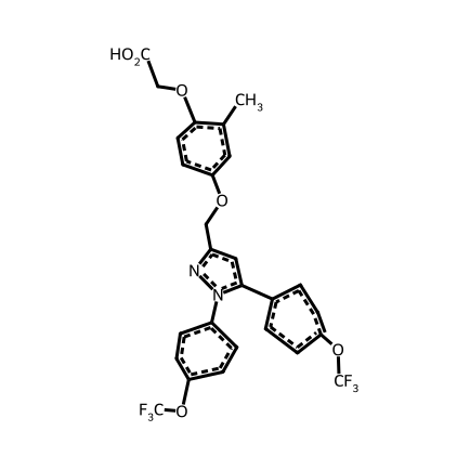 Cc1cc(OCc2cc(-c3ccc(OC(F)(F)F)cc3)n(-c3ccc(OC(F)(F)F)cc3)n2)ccc1OCC(=O)O